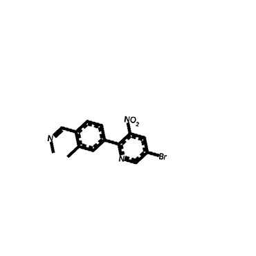 C/N=C\c1ccc(-c2ncc(Br)cc2[N+](=O)[O-])cc1C